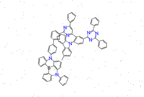 Cc1ccc2c(c1)c1ccccc1n2-c1ccc(-c2nc(-c3ccccc3)nc(-c3ccccc3)n2)cc1-c1cc(-c2ccccc2)nc(-c2cccc(-c3ccc(N4c5ccccc5B5c6ccccc6N(c6ccccc6)c6cccc4c65)cc3)c2)n1